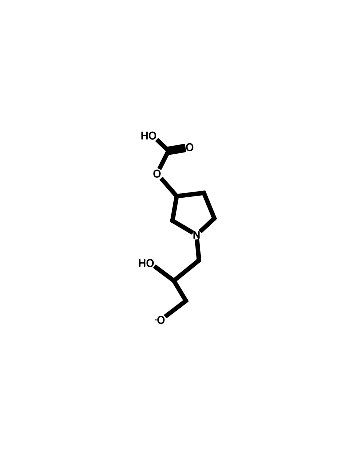 [O]CC(O)CN1CCC(OC(=O)O)C1